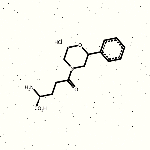 Cl.N[C@@H](CCC(=O)N1CCOC(c2ccccc2)C1)C(=O)O